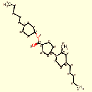 CCCCCC1CCC(OC(=O)C2CCC(C3CCC(CCCCC)CC3C)CC2)CC1